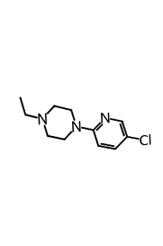 CCN1CCN(c2ccc(Cl)cn2)CC1